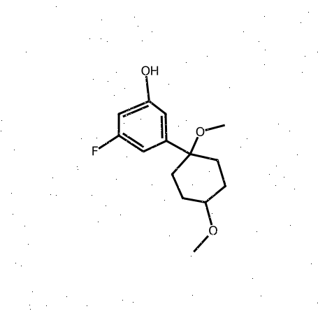 COC1CCC(OC)(c2cc(O)cc(F)c2)CC1